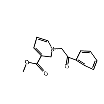 COC(=O)C1=CC=CN(CC(=O)c2ccccc2)C1